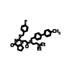 CCN(CC)CCN(Cc1ccc(-c2ccc(C)cc2)cc1)C(=O)Cn1c(SCc2ccc(F)cc2)nc(=O)c2c1CCC2